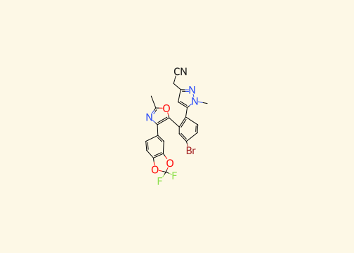 Cc1nc(-c2ccc3c(c2)OC(F)(F)O3)c(-c2cc(Br)ccc2-c2cc(CC#N)nn2C)o1